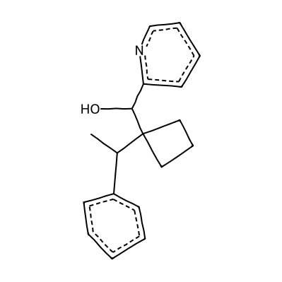 CC(c1ccccc1)C1(C(O)c2ccccn2)CCC1